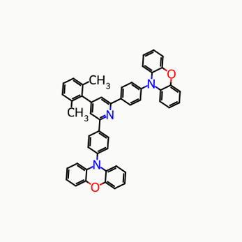 Cc1cccc(C)c1-c1cc(-c2ccc(N3c4ccccc4Oc4ccccc43)cc2)nc(-c2ccc(N3c4ccccc4Oc4ccccc43)cc2)c1